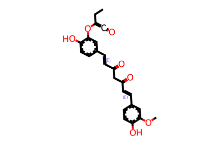 CCC(=C=O)Oc1cc(/C=C/C(=O)CC(=O)/C=C/c2ccc(O)c(OC)c2)ccc1O